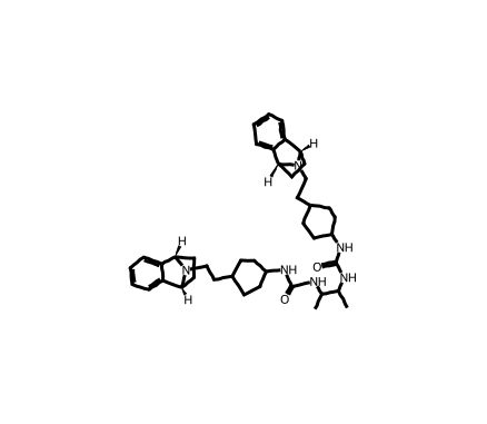 CC(NC(=O)NC1CCC(CCN2[C@@H]3CC[C@H]2c2ccccc23)CC1)C(C)NC(=O)NC1CCC(CCN2[C@@H]3CC[C@H]2c2ccccc23)CC1